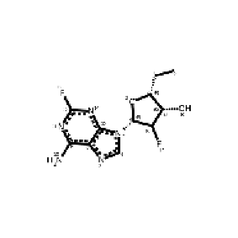 CC[C@H]1O[C@@H](n2cnc3c(N)nc(F)nc32)C(F)[C@H]1O